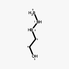 BBBCCO